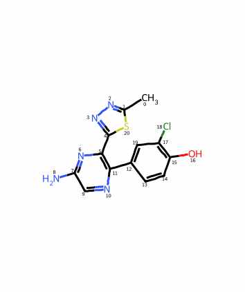 Cc1nnc(-c2nc(N)cnc2-c2ccc(O)c(Cl)c2)s1